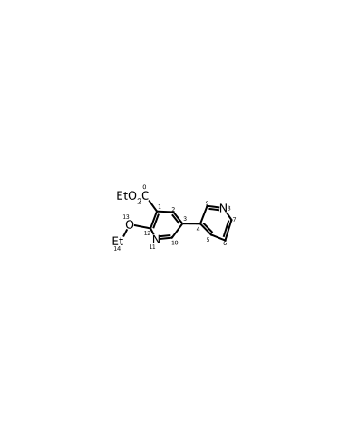 CCOC(=O)c1cc(-c2cccnc2)cnc1OCC